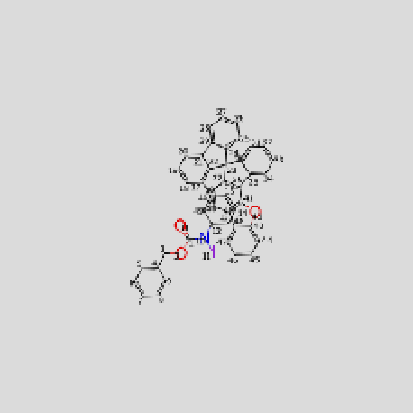 O=C(OCc1ccccc1)N(I)c1cccc(-c2cccc3c2C2(c4ccccc4-3)c3ccccc3-c3c2ccc2c3oc3ccccc32)c1